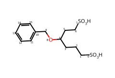 O=S(=O)(O)CCCC(CCS(=O)(=O)O)OCc1ccccc1